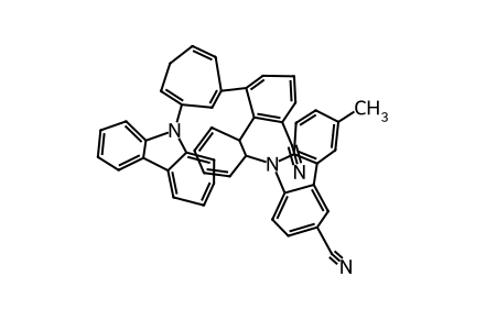 Cc1ccc2c(c1)c1cc(C#N)ccc1n2C1C=CC=CC1c1c(C#N)cccc1C1=CC(n2c3ccccc3c3ccccc32)=CCC=C1